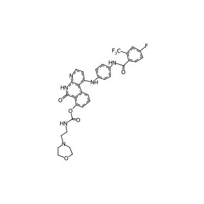 O=C(NCCN1CCOCC1)Oc1cccc2c1c(=O)[nH]c1nccc(Nc3ccc(NC(=O)c4ccc(F)cc4C(F)(F)F)cc3)c12